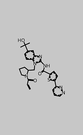 C=CC(=O)N1CCCC1Cn1c(NC(=O)c2ccc(-c3cccnn3)s2)nc2cc(C(C)(C)O)ccc21